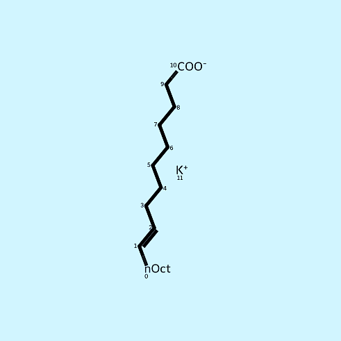 CCCCCCCCC=CCCCCCCCC(=O)[O-].[K+]